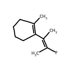 CC1=C(/C(C)=C(\C)F)CCCC1